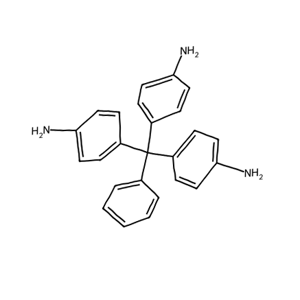 Nc1ccc(C(c2ccccc2)(c2ccc(N)cc2)c2ccc(N)cc2)cc1